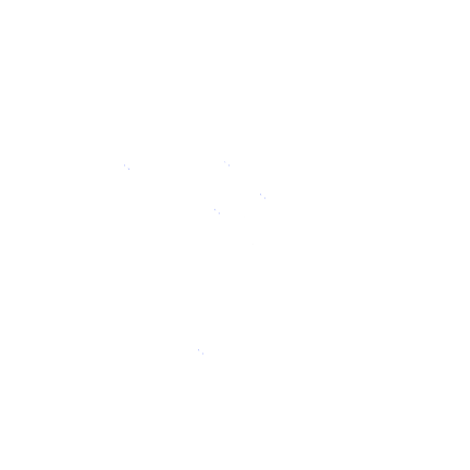 c1ccc(-c2nc(-c3ccc4c(c3)sc3ccccc34)nc(-c3ccnc4c3oc3c(-c5ccc6c(c5)c5ccccc5n6-c5ccccc5)cccc34)n2)cc1